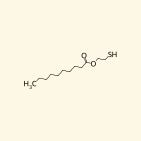 CCCCCCCCCC(=O)OCCS